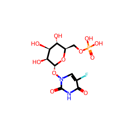 O=c1[nH]c(=O)n(O[C@H]2O[C@H](COP(=O)(O)O)[C@@H](O)[C@H](O)[C@@H]2O)cc1F